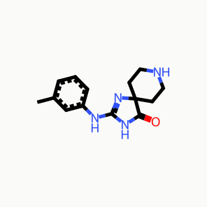 Cc1cccc(NC2=NC3(CCNCC3)C(=O)N2)c1